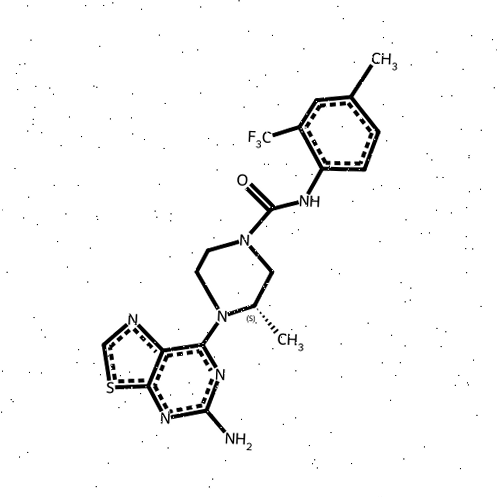 Cc1ccc(NC(=O)N2CCN(c3nc(N)nc4scnc34)[C@@H](C)C2)c(C(F)(F)F)c1